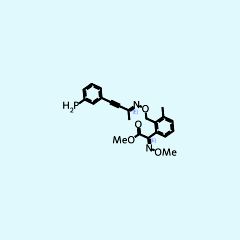 CO/N=C(/C(=O)OC)c1cccc(C)c1CO/N=C(\C)C#Cc1cccc(P)c1